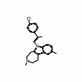 CC(=Cn1c2c(c3cc(C)ccc31)CCN(C)CC2)c1ccc(Cl)cc1